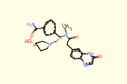 CN(C(=O)Cc1ccc2ncc(=O)[nH]c2c1)[C@H](CN1CC[C@H](O)C1)c1cccc(C(N)=O)c1